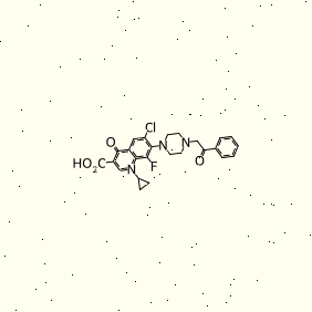 O=C(CN1CCN(c2c(Cl)cc3c(=O)c(C(=O)O)cn(C4CC4)c3c2F)CC1)c1ccccc1